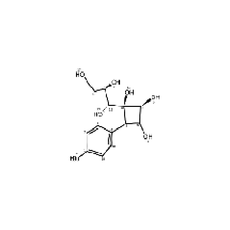 CC(C)(C)c1ccc(C2C(O)[C@H](O)[C@@]2(O)[C@H](O)[C@H](O)CO)cc1